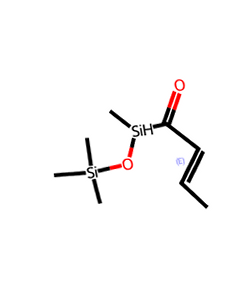 C/C=C/C(=O)[SiH](C)O[Si](C)(C)C